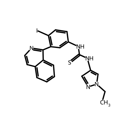 CCn1cc(NC(=S)Nc2ccc(I)c(-c3nccc4ccccc34)c2)cn1